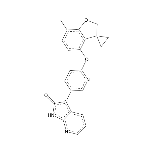 Cc1ccc(Oc2ccc(-n3c(=O)[nH]c4ncccc43)cn2)c2c1OCC21CC1